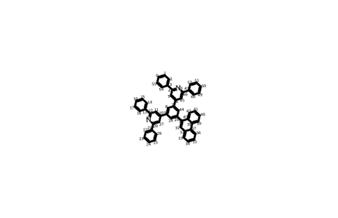 c1ccc(-c2cc(-c3cc(-c4cc(-c5ccccc5)nc(-c5ccccc5)c4)cc(-c4cc5ccccc5c5ccccc45)c3)cc(-c3ccccc3)n2)cc1